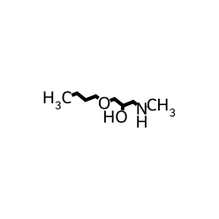 CCCCOCC(O)CNC